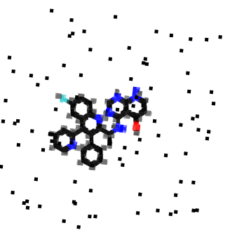 C[C@H](Nc1ncnc2[nH]ccc(=O)c12)c1nc2ccc(F)cc2c(-c2ccccn2)c1-c1ccccc1